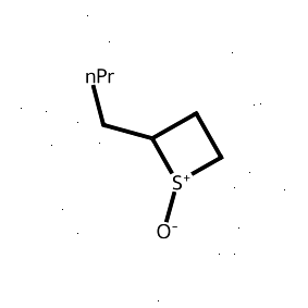 CCCCC1CC[S+]1[O-]